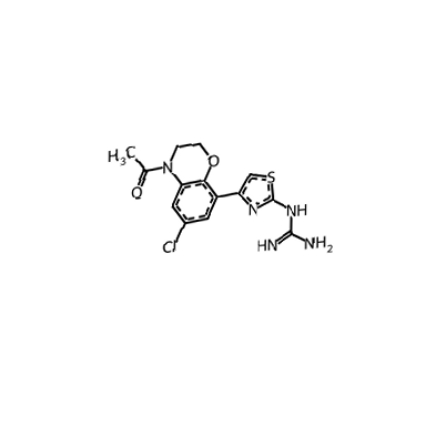 CC(=O)N1CCOc2c(-c3csc(NC(=N)N)n3)cc(Cl)cc21